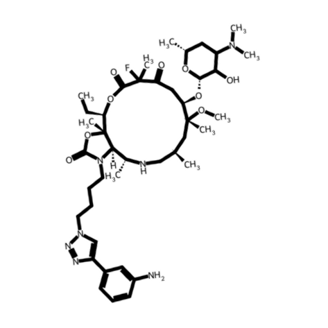 CC[C@H]1OC(=O)C(C)(F)C(=O)C[C@@H](O[C@@H]2O[C@H](C)CC(N(C)C)C2O)[C@](C)(OC)C[C@@H](C)CN[C@H](C)[C@H]2N(CCCCn3cc(-c4cccc(N)c4)nn3)C(=O)O[C@]12C